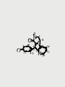 CN1CCn2c(c(-c3ccc(Cl)cc3)c3ncccc32)C1=O